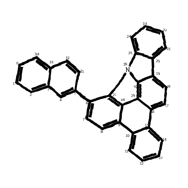 c1ccc2cc(-c3ccc4c5ccccc5c5ccc6c7ccccc7n7c3c4c5c67)ccc2c1